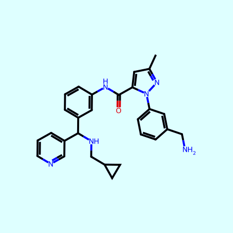 Cc1cc(C(=O)Nc2cccc(C(NCC3CC3)c3cccnc3)c2)n(-c2cccc(CN)c2)n1